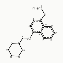 CCCCCSc1ccc(OCC2CCCCC2)c2ccccc12